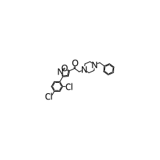 O=C(CN1CCN(Cc2ccccc2)CC1)c1cc(-c2ccc(Cl)cc2Cl)no1